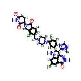 Cn1ncnc1[C@H]1c2n[nH]c(=O)c3cc(F)cc(c23)N[C@@H]1c1ccc(F)c(N2CCN(Cc3ccc4c(c3F)CN(C3CCC(=O)NC3=O)C4=O)CC2)c1